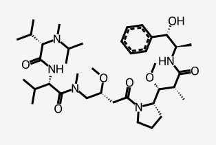 CO[C@H](CC(=O)N1CCC[C@H]1[C@H](OC)[C@@H](C)C(=O)N[C@H](C)[C@@H](O)c1ccccc1)CN(C)C(=O)[C@@H](NC(=O)[C@H](C(C)C)N(C)C(C)C)C(C)C